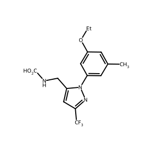 CCOc1cc(C)cc(-n2nc(C(F)(F)F)cc2CNC(=O)O)c1